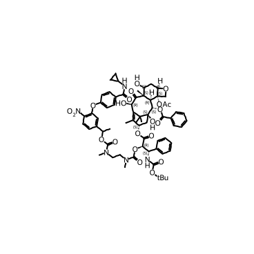 CC(=O)O[C@@]12CO[C@@H]1C[C@H](O)[C@@]1(C)C(=O)[C@H](O)C3=C(C)[C@@H](OC(=O)[C@H](OC(=O)N(C)CCN(C)C(=O)OC(C)c4ccc([N+](=O)[O-])c(Oc5ccc(C(=O)NC6CC6)cc5)c4)[C@@H](NC(=O)OC(C)(C)C)c4ccccc4)C[C@@](O)([C@@H](OC(=O)c4ccccc4)[C@H]21)C3(C)C